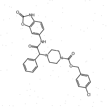 O=C(Nc1ccc2[nH]c(=O)oc2c1)C(c1ccccc1)N1CCN(C(=O)OCc2ccc(Cl)cc2)CC1